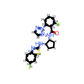 O=C(N[C@H]1CCC[C@H]1Nc1nc2ccc(F)cc2s1)c1c(F)cccc1-n1nccn1